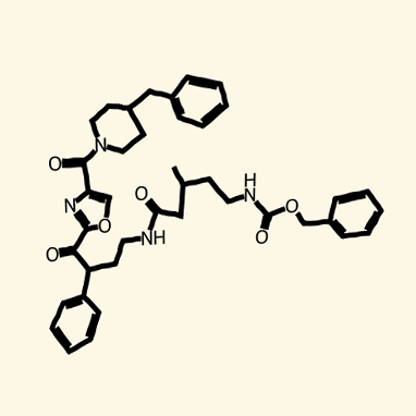 CC(CCNC(=O)OCc1ccccc1)CC(=O)NCCC(C(=O)c1nc(C(=O)N2CCC(Cc3ccccc3)CC2)co1)c1ccccc1